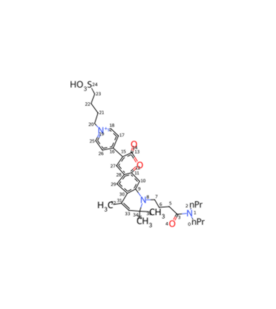 CCCN(CCC)C(=O)CCCN1c2cc3oc(=O)c(-c4cc[n+](CCCCS(=O)(=O)O)cc4)cc3cc2C(C)=CC1(C)C